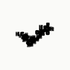 CCN1C(=O)/C(=c2/[nH]c(=O)/c(=C\C=C\c3ccc4c(c3)CCCN4c3ccc(C)cc3)s2)SC1=S